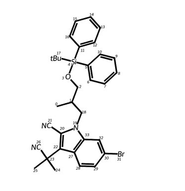 CC(CO[Si](c1ccccc1)(c1ccccc1)C(C)(C)C)Cn1c(C#N)c(C(C)(C)C#N)c2ccc(Br)cc21